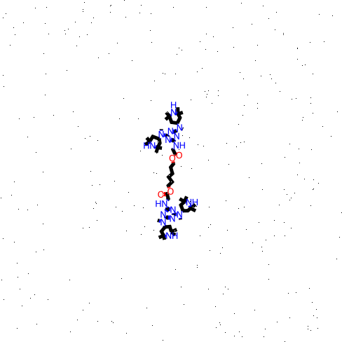 CN(c1nc(NCC(=O)OCCCCCCOC(=O)CNc2nc(N(C)C3CC(C)(C)NC(C)(C)C3)nc(N(C)C3CC(C)(C)NC(C)(C)C3)n2)nc(N(C)C2CC(C)(C)NC(C)(C)C2)n1)C1CC(C)(C)NC(C)(C)C1